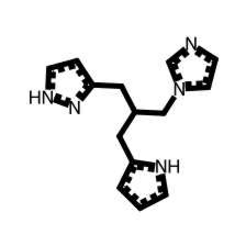 c1c[nH]c(C[C](Cc2cc[nH]n2)Cn2ccnc2)c1